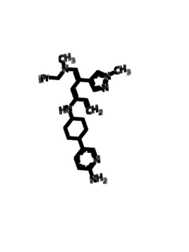 C=C/C(=C\C(=C/N(C)CC(C)C)c1cnn(C)c1)NC1CCC(c2ccc(N)nc2)CC1